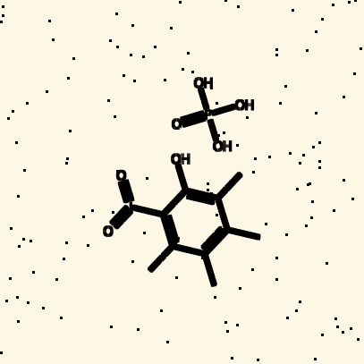 Cc1c(C)c(C)c(I(=O)=O)c(O)c1C.O=P(O)(O)O